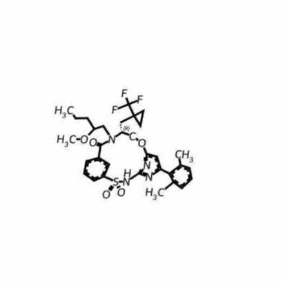 CCCC(CN1C(=O)c2cccc(c2)S(=O)(=O)Nc2nc(cc(-c3c(C)cccc3C)n2)OC[C@H]1CC1(C(F)(F)F)CC1)OC